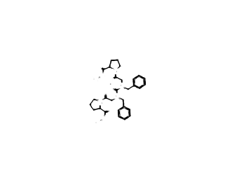 CC(C)(C)OC(=O)C1CCCN1C(=O)CN(Cc1ccccc1)C(=O)N(CC(=O)N1CCCC1C(=O)OC(C)(C)C)Cc1ccccc1